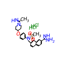 CC(=N)N1CCC(Oc2ccc(N(Cc3ccc4ccc(C(=N)N)cc4c3)S(C)(=O)=O)cc2)CC1.Cl.Cl